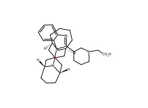 O=C(O)CN1CCCC(c2nc3ccccc3n2C2C[C@H]3CCC[C@@H](C2)N3C2C[C@H]3CCCC[C@@H](C2)C3)C1